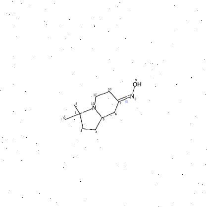 CC1(C)CCC2C/C(=N/O)CCN21